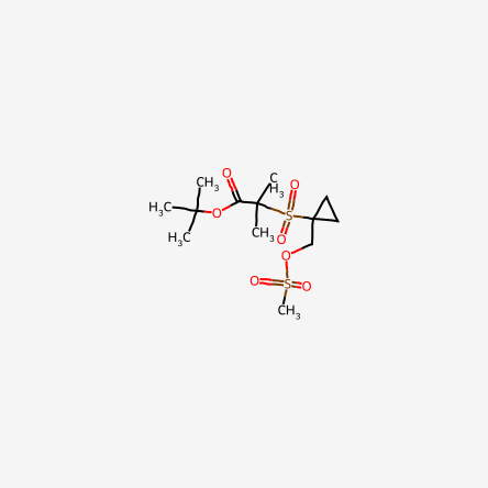 CC(C)(C)OC(=O)C(C)(C)S(=O)(=O)C1(COS(C)(=O)=O)CC1